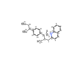 CC(Cc1ccc2ccccc2n1)[C@@H](C)c1ccc(C(CC(C)(C)C)C(C)(C)C)cc1